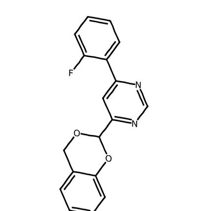 Fc1ccccc1-c1cc(C2OCc3ccccc3O2)ncn1